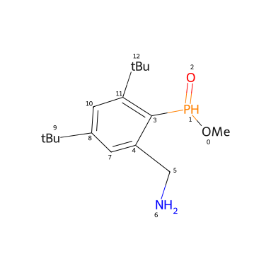 CO[PH](=O)c1c(CN)cc(C(C)(C)C)cc1C(C)(C)C